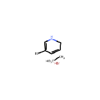 Br.CC(=O)O.CCC1=CNCC=C1